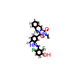 CCNC(=O)[C@@H]1Cc2ccccc2CN1C(=O)c1ccc(C)c(NCc2c(F)ccc(O)c2F)c1